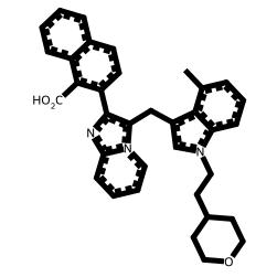 Cc1cccc2c1c(Cc1c(-c3ccc4ccccc4c3C(=O)O)nc3ccccn13)cn2CCC1CCOCC1